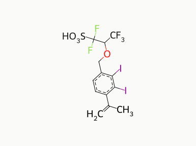 C=C(C)c1ccc(COC(C(F)(F)F)C(F)(F)S(=O)(=O)O)c(I)c1I